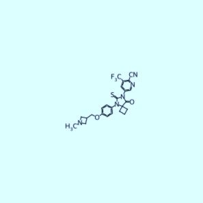 CN1CC(COc2ccc(N3C(=S)N(c4cnc(C#N)c(C(F)(F)F)c4)C(=O)C34CCC4)cc2)C1